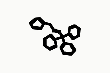 c1ccc(CN=NC(c2ccccc2)(c2ccccc2)c2ccccc2)cc1